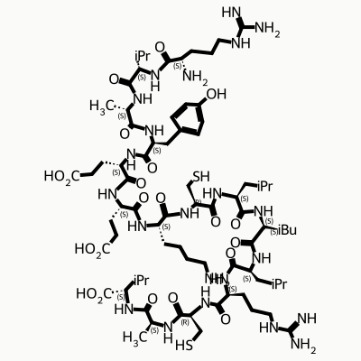 CC[C@H](C)[C@H](NC(=O)[C@H](CC(C)C)NC(=O)[C@H](CS)NC(=O)[C@H](CCCCN)NC(=O)[C@H](CCC(=O)O)NC(=O)[C@H](CCC(=O)O)NC(=O)[C@H](Cc1ccc(O)cc1)NC(=O)[C@H](C)NC(=O)[C@@H](NC(=O)[C@@H](N)CCCNC(=N)N)C(C)C)C(=O)N[C@@H](CC(C)C)C(=O)N[C@@H](CCCNC(=N)N)C(=O)N[C@@H](CS)C(=O)N[C@@H](C)C(=O)N[C@H](C(=O)O)C(C)C